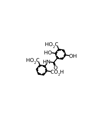 O=C(O)c1cc(O)cc(C(=O)Nc2c(C(=O)O)cccc2C(=O)O)c1O